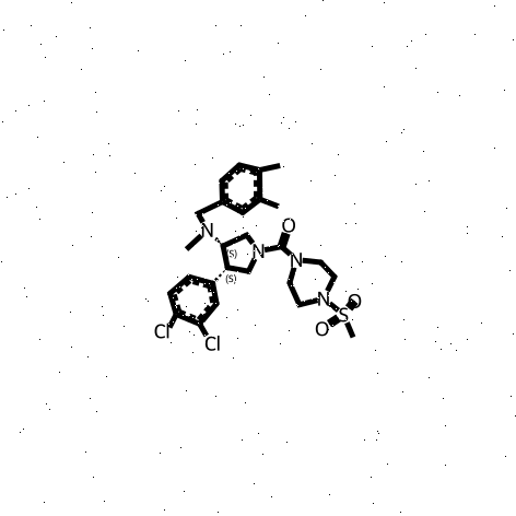 Cc1ccc(CN(C)[C@@H]2CN(C(=O)N3CCN(S(C)(=O)=O)CC3)C[C@@H]2c2ccc(Cl)c(Cl)c2)cc1C